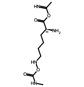 CNC(=O)ONCCCC[C@H](N)C(=O)OC(C)=N